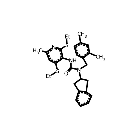 CCSc1cc(C)nc(SCC)c1NC(=O)N(Cc1ccc(C)cc1C)C1Cc2ccccc2C1